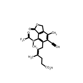 C#Cc1c(C)c2c(c(N(C)C(=O)C(F)(F)F)c1CC=C(C)CCC(=O)O)C(=O)OC2